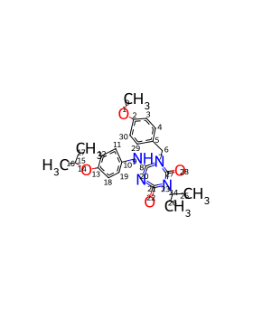 COc1ccc(Cn2c(Nc3ccc(OC(C)C)cc3)nc(=O)n(C(C)C)c2=O)cc1